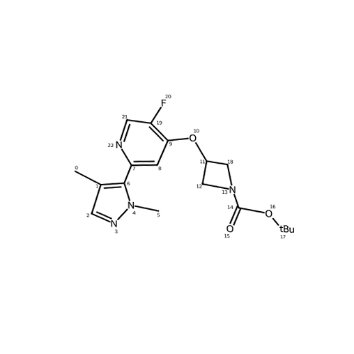 Cc1cnn(C)c1-c1cc(OC2CN(C(=O)OC(C)(C)C)C2)c(F)cn1